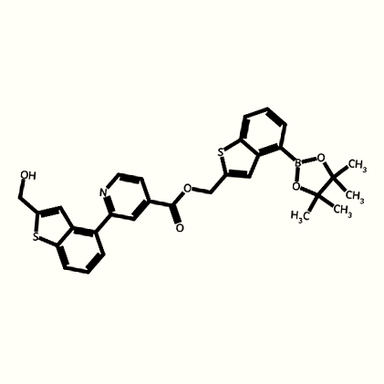 CC1(C)OB(c2cccc3sc(COC(=O)c4ccnc(-c5cccc6sc(CO)cc56)c4)cc23)OC1(C)C